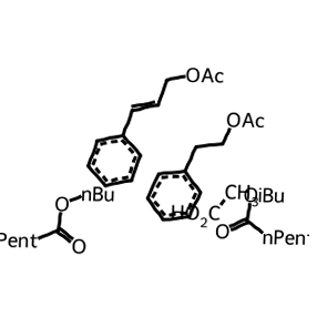 CC(=O)O.CC(=O)OCC=Cc1ccccc1.CC(=O)OCCc1ccccc1.CCCCCC(=O)OCC(C)C.CCCCCC(=O)OCCCC